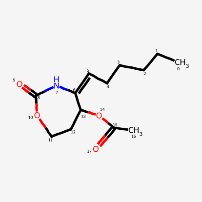 CCCCC/C=C1/NC(=O)OCCC1OC(C)=O